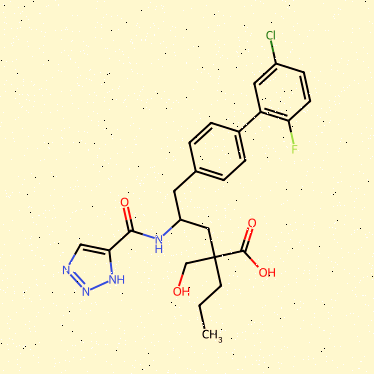 CCCC(CO)(CC(Cc1ccc(-c2cc(Cl)ccc2F)cc1)NC(=O)c1cnn[nH]1)C(=O)O